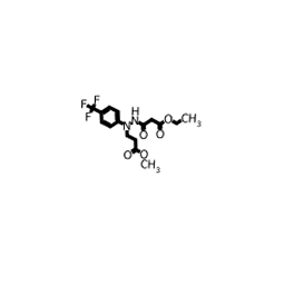 CCOC(=O)CC(=O)NN(CCC(=O)OC)c1ccc(C(F)(F)F)cc1